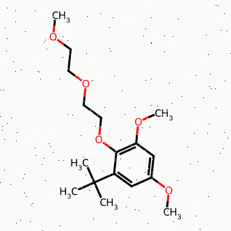 COCCOCCOc1c(OC)cc(OC)cc1C(C)(C)C